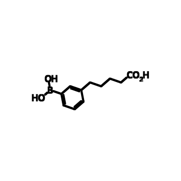 O=C(O)CCCCc1cccc(B(O)O)c1